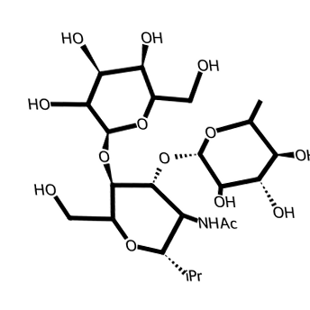 CC(=O)NC1[C@H](C(C)C)OC(CO)[C@@H](O[C@@H]2OC(CO)[C@H](O)[C@H](O)C2O)[C@@H]1O[C@@H]1OC(C)[C@@H](O)[C@H](O)C1O